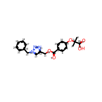 CC(C)(Oc1ccc(C(=O)OCc2cn(Cc3ccccc3)nn2)cc1)C(=O)O